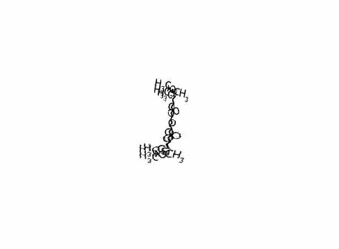 CC(C)O[Si](C)(C)CCCOC(=O)OCCOCCOC(=O)OCCC[Si](C)(C)OC(C)C